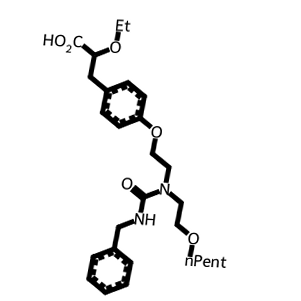 CCCCCOCCN(CCOc1ccc(CC(OCC)C(=O)O)cc1)C(=O)NCc1ccccc1